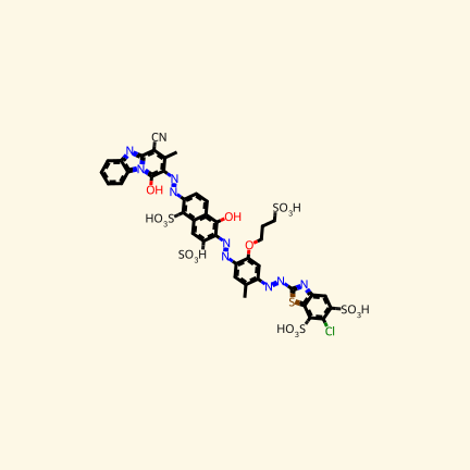 Cc1cc(N=Nc2c(S(=O)(=O)O)cc3c(S(=O)(=O)O)c(N=Nc4c(C)c(C#N)c5nc6ccccc6n5c4O)ccc3c2O)c(OCCCS(=O)(=O)O)cc1N=Nc1nc2cc(S(=O)(=O)O)c(Cl)c(S(=O)(=O)O)c2s1